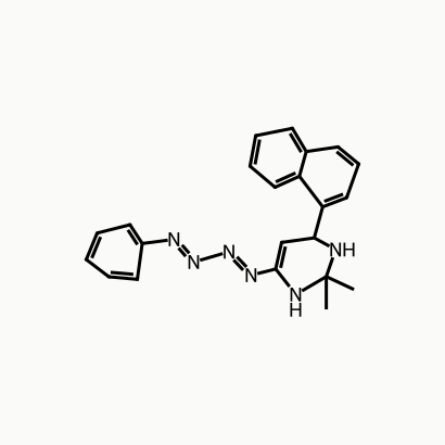 CC1(C)NC(N=NN=Nc2ccccc2)=CC(c2cccc3ccccc23)N1